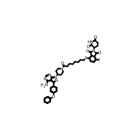 Nc1ncnc2c1c(-c1ccc(Oc3ccccc3)cc1)nn2C1CCN(C(=O)CCCCCCCSc2ccc(F)c3c2C(=O)N(C2CCC(=O)NC2=O)C3=O)CC1